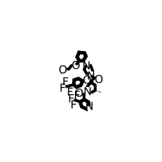 COCCOc1ccccc1N1CCN(C(=O)C2(Oc3ccc(C(F)(F)F)cc3)C[C@H](C)CN(C(=O)c3cnccc3C(F)(F)F)C2)CC1